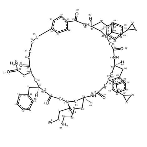 CC(C)CCC(=O)N1CC(=O)N[C@@H](Cc2ccccc2)CN(CC(N)=O)C(=O)CCSCc2ccc(cc2)C(=O)N[C@@H](Cc2ccccc2)CN(C(=O)CC2CC2)CC(=O)N[C@@H](Cc2ccccc2)CN(C(=O)CC2CC2)CC(=O)N[C@@H](CCCCN)C1